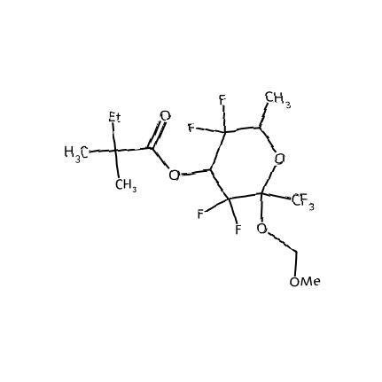 CCC(C)(C)C(=O)OC1C(F)(F)C(C)OC(OCOC)(C(F)(F)F)C1(F)F